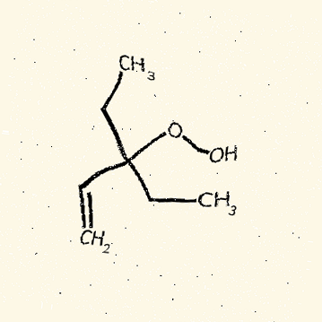 C=CC(CC)(CC)OO